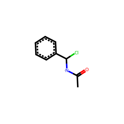 CC(=O)[N]C(Cl)c1ccccc1